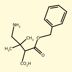 CC(C)(CN)C(C(=O)O)C(=O)OCc1ccccc1